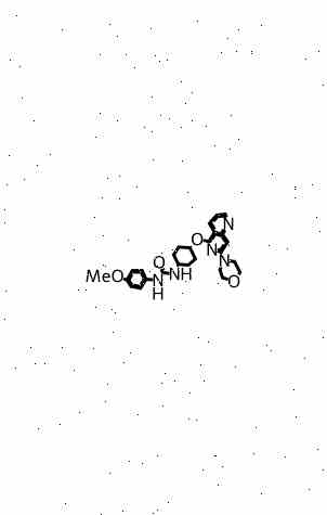 COc1ccc(NC(=O)N[C@H]2CC[C@@H](Oc3nc(N4CCOCC4)cc4ncccc34)CC2)cc1